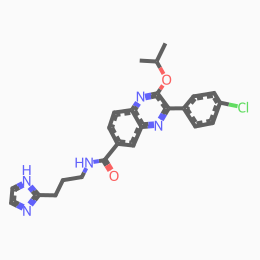 CC(C)Oc1nc2ccc(C(=O)NCCCc3ncc[nH]3)cc2nc1-c1ccc(Cl)cc1